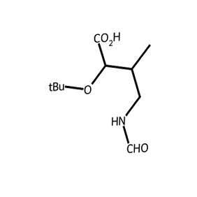 CC(CNC=O)C(OC(C)(C)C)C(=O)O